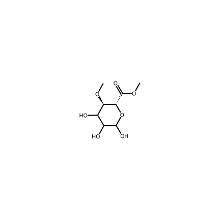 COC(=O)[C@@H]1OC(O)C(O)C(O)[C@H]1OC